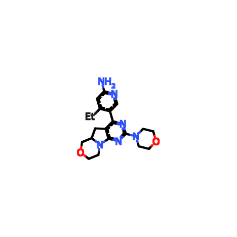 CCc1cc(N)ncc1-c1nc(N2CCOCC2)nc2c1CC1COCCN21